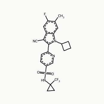 Cc1cc2c(cc1F)c(C#N)c(-c1ccc(S(=O)(=O)NC3(C(F)(F)F)CC3)cn1)n2C1CCC1